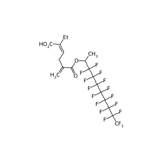 C=C(CC=C(CC)C(=O)O)C(=O)OC(C)C(F)(F)C(F)(F)C(F)(F)C(F)(F)C(F)(F)C(F)(F)C(F)(F)C(F)(F)F